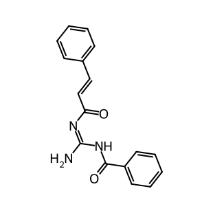 NC(=NC(=O)/C=C/c1ccccc1)NC(=O)c1ccccc1